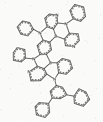 c1ccc(-c2cc(-c3ccccc3)cc(N3c4ccccc4B4c5cc6c(cc5N(c5ccccc5)c5nccc3c54)N(c3ccccc3)c3ccnc4c3B6c3cnccc3N4c3ccccc3)c2)cc1